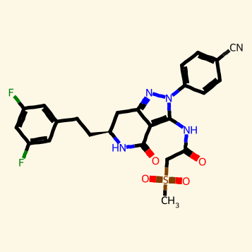 CS(=O)(=O)CC(=O)Nc1c2c(nn1-c1ccc(C#N)cc1)C[C@H](CCc1cc(F)cc(F)c1)NC2=O